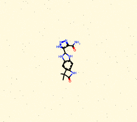 CC1(C)C(=O)Nc2cc3c(cc21)NC(c1[nH]nnc1C(N)=O)N3